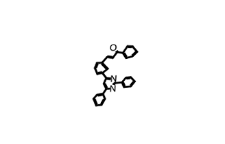 O=C(/C=C/c1cccc(-c2cc(-c3ccccc3)nc(-c3ccccc3)n2)c1)c1ccccc1